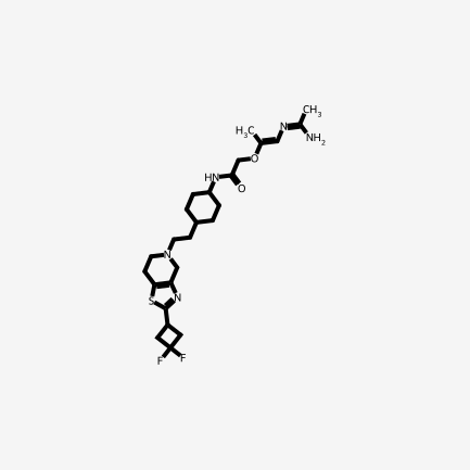 C/C(N)=N/C=C(\C)OCC(=O)NC1CCC(CCN2CCc3sc(C4CC(F)(F)C4)nc3C2)CC1